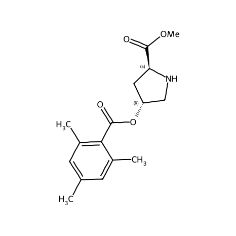 COC(=O)[C@@H]1C[C@@H](OC(=O)c2c(C)cc(C)cc2C)CN1